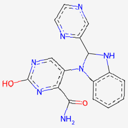 NC(=O)c1nc(O)ncc1N1c2ccccc2NC1c1cnccn1